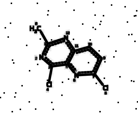 Cc1nc(Cl)c2nc(Cl)ccc2n1